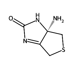 N[C@]12CSCC1=NC(=O)N2